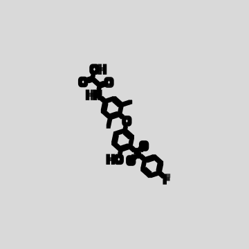 Cc1cc(NC(=O)C(=O)O)cc(C)c1Oc1ccc(O)c(S(=O)(=O)c2ccc(F)cc2)c1